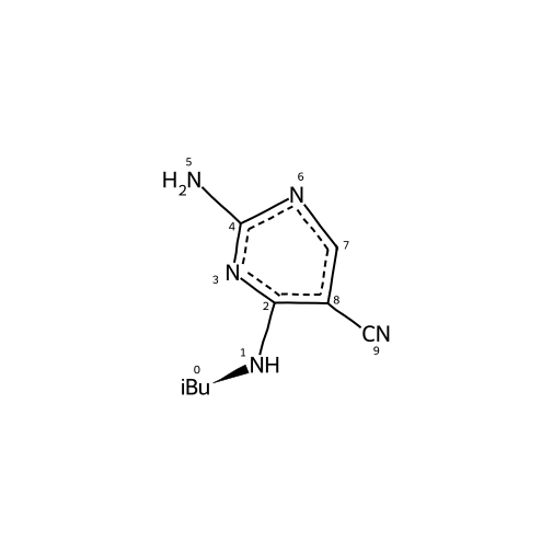 CC[C@H](C)Nc1nc(N)ncc1C#N